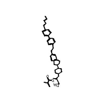 C=C(C)C(=O)OCC(CO)CC1CCC(C2CCc3cc(CCc4ccc(-c5ccc(CCCCC)cc5)cc4)ccc3C2)CC1